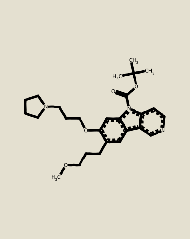 COCCCc1cc2c3cnccc3n(C(=O)OC(C)(C)C)c2cc1OCCCN1CCCC1